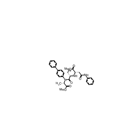 COC(=O)[C@H](CC(=O)Nc1ccccc1)N[C@@H](CC(C)C)C(=O)N(c1ccc(-c2ccccc2)cc1)[C@@H](C)C(=O)OC